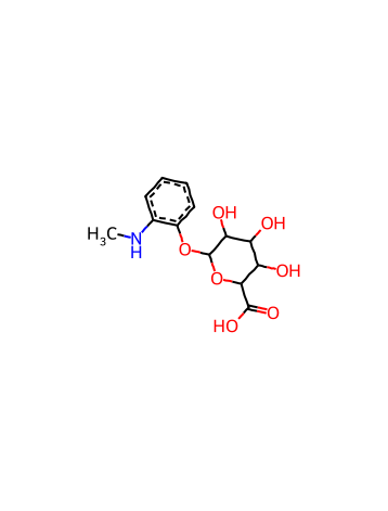 CNc1ccccc1OC1OC(C(=O)O)C(O)C(O)C1O